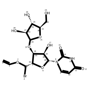 C=COC(Br)[C@H]1O[C@@H](n2ccc(=O)[nH]c2=O)[C@H](O)[C@@H]1OC1O[C@H](CO)[C@@H](O)[C@@H]1O